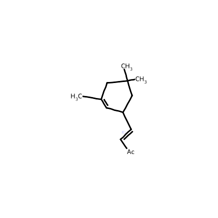 CC(=O)/C=C/C1C=C(C)CC(C)(C)C1